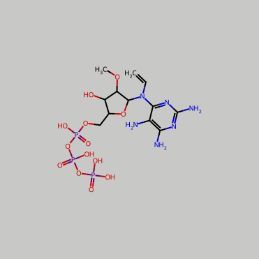 C=CN(c1nc(N)nc(N)c1N)C1OC(COP(=O)(O)OP(=O)(O)OP(=O)(O)O)C(O)C1OC